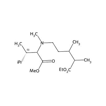 CCOC(=O)C(C)C(C)CCN(C)C(C(=O)OC)[C@@H](C)C(C)C